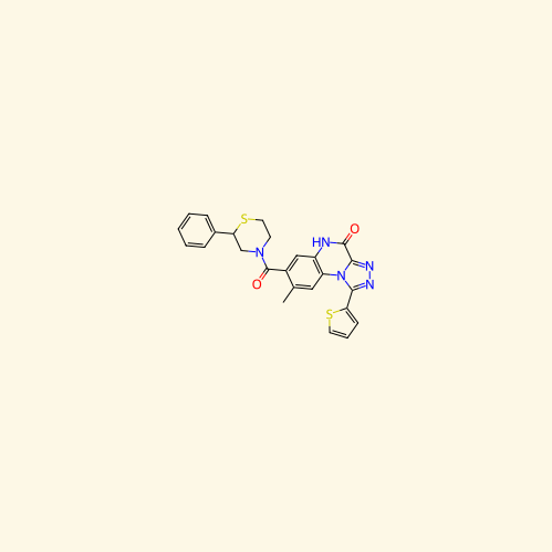 Cc1cc2c(cc1C(=O)N1CCSC(c3ccccc3)C1)[nH]c(=O)c1nnc(-c3cccs3)n12